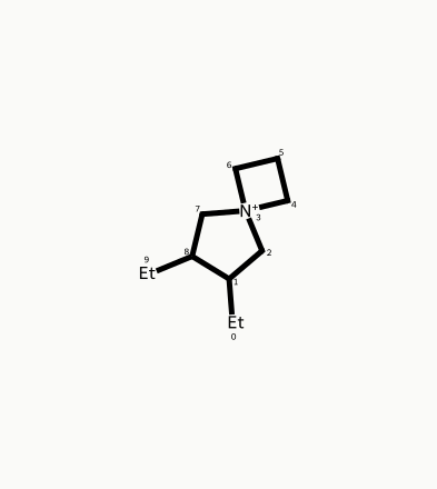 CCC1C[N+]2(CCC2)CC1CC